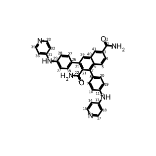 NC(=O)c1ccc2c(-c3ccc(Nc4ccncc4)cc3)c(C(N)=O)c(-c3ccc(Nc4ccncc4)cc3)cc2c1